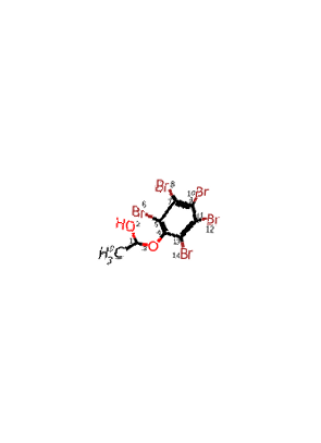 CC(O)Oc1c(Br)c(Br)c(Br)c(Br)c1Br